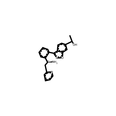 CC(O)c1ccc2c(-c3ccccc3[C@@H](N)Cc3ccccn3)noc2c1